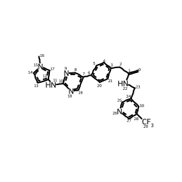 C=C(Cc1ccc(-c2cnc(Nc3ccn(C)c3)nc2)cc1)NCc1cncc(C(F)(F)F)c1